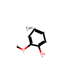 COc1ccccc1O.[CaH2]